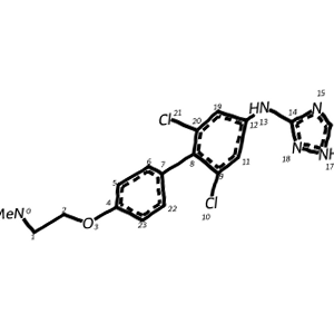 CNCCOc1ccc(-c2c(Cl)cc(Nc3nc[nH]n3)cc2Cl)cc1